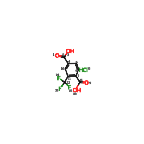 Cl.O=C(O)c1ccc(C(=O)O)c(C(F)(F)F)c1